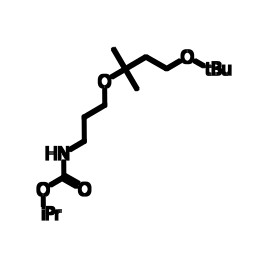 CC(C)OC(=O)NCCCOC(C)(C)CCOC(C)(C)C